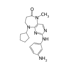 CN1C(=O)CCN(C2CCCC2)c2nc(Nc3cccc(N)c3)ncc21